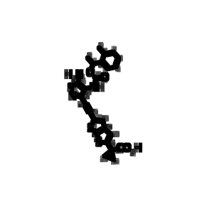 Cc1ccccc1C(C)OC(=O)Nc1c(C#Cc2cc3cc(C4(C(=O)O)CC4)sc3s2)nsc1N